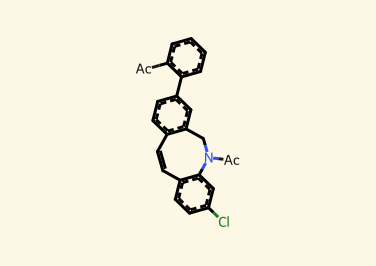 CC(=O)c1ccccc1-c1ccc2c(c1)CN(C(C)=O)c1cc(Cl)ccc1C=C2